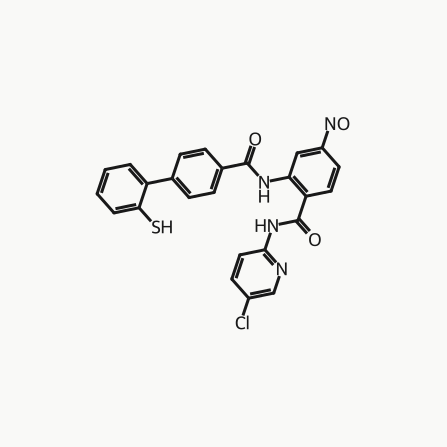 O=Nc1ccc(C(=O)Nc2ccc(Cl)cn2)c(NC(=O)c2ccc(-c3ccccc3S)cc2)c1